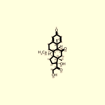 C[C@]12C=CC(=O)C=C1CC[C@@H]1C3CC[C@](O)(C(=O)CO)[C@@]3(C)CC(=O)[C@H]12.[CaH2]